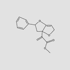 C=C(C(=O)OC)C12CC(c3ccccc3)OC1=CCO2